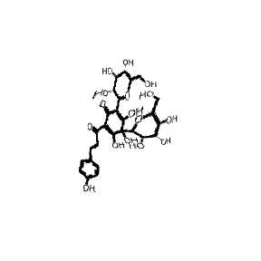 O=C(CCc1ccc(O)cc1)C1=C(O)C(O)(C2OC(CO)[C@@H](O)[C@H](O)[C@H]2O)C(O)=C(C2OC(CO)[C@@H](O)[C@H](O)[C@H]2O)C1=O